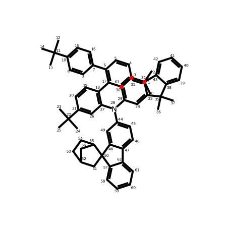 CC(C)c1ccc(-c2ccc(C(C)(C)C)cc2)c(-c2ccc(C(C)(C)C)cc2N(c2ccc3c(c2)C(C)(C)c2ccccc2-3)c2ccc3c(c2)C2(CC4CCC2C4)c2ccccc2-3)c1